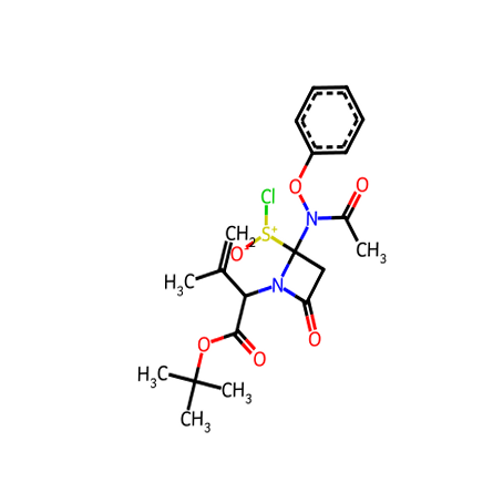 C=C(C)C(C(=O)OC(C)(C)C)N1C(=O)CC1(N(Oc1ccccc1)C(C)=O)[S+]([O-])Cl